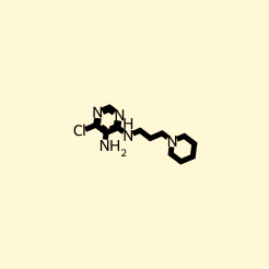 Nc1c(Cl)ncnc1NCCCN1CCCCC1